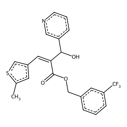 Cc1cc(/C=C(\C(=O)OCc2cccc(C(F)(F)F)c2)C(O)c2cccnc2)cs1